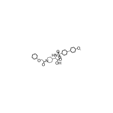 COc1ccc(-c2ccc(S(=O)(=O)NC(C(=O)O)C3CCN(C(=O)COc4ccccc4)CC3)cc2)cc1